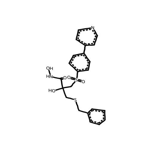 O=C(NO)C(O)(CSCc1ccccc1)CS(=O)(=O)c1ccc(-c2ccncc2)cc1